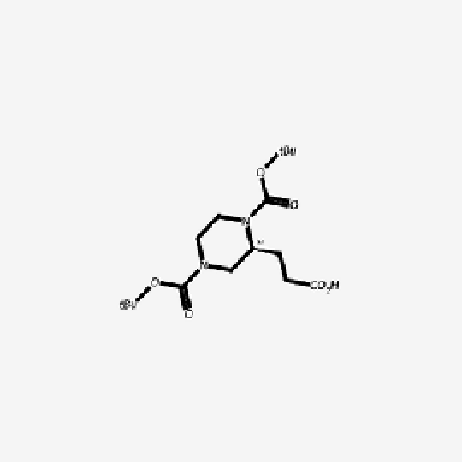 CC(C)(C)OC(=O)N1CCN(C(=O)OC(C)(C)C)[C@@H](CCC(=O)O)C1